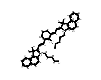 CCCCCN1/C(=C\C=C2/CCCC(/C=C/C3=[N+](CCCCC)c4ccc5ccccc5c4C3(C)C)=C2Cl)C(C)(C)c2c1ccc1ccccc21